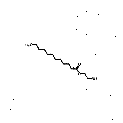 CCCCCCCCCCCC(=O)OCC[NH]